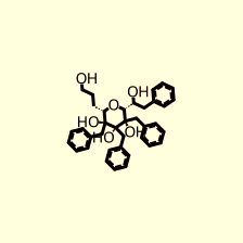 OCCC[C@@H]1O[C@H](C(O)Cc2ccccc2)[C@](O)(Cc2ccccc2)[C@@](O)(Cc2ccccc2)[C@]1(O)Cc1ccccc1